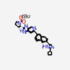 CC(C)(C)OC(=O)N1CCC[C@H]1c1nc2cnc(-c3ccc4cc(-c5cnc(C6CCCC6)[nH]5)ccc4c3)cc2[nH]1